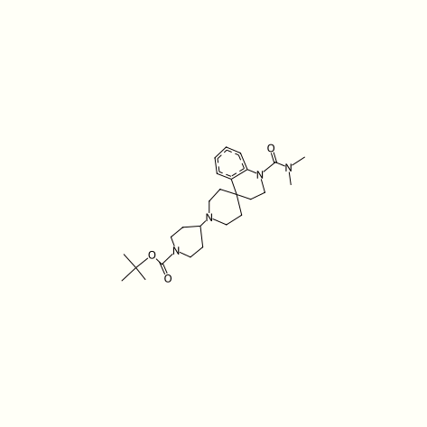 CN(C)C(=O)N1CCC2(CCN(C3CCN(C(=O)OC(C)(C)C)CC3)CC2)c2ccccc21